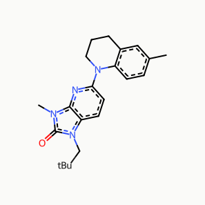 Cc1ccc2c(c1)CCCN2c1ccc2c(n1)n(C)c(=O)n2CC(C)(C)C